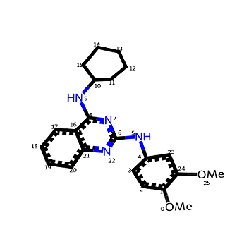 COc1ccc(Nc2nc(NC3CCCCC3)c3ccccc3n2)cc1OC